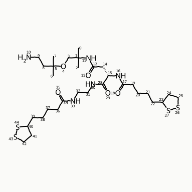 CC(C)(COC(C)(C)CCN)NC(=O)C[C@H](NC(=O)CCCCC1CCSS1)C(=O)NCCNC(=O)CCCCC1CCSS1